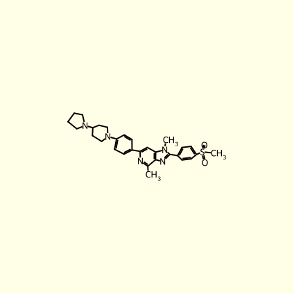 Cc1nc(-c2ccc(N3CCC(N4CCCC4)CC3)cc2)cc2c1nc(-c1ccc(S(C)(=O)=O)cc1)n2C